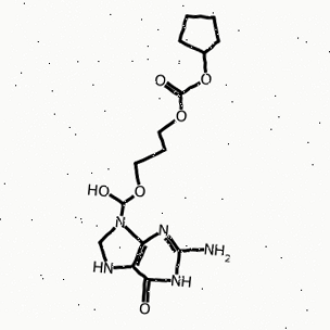 Nc1nc2c(c(=O)[nH]1)NCN2C(O)OCCCOC(=O)OC1CCCC1